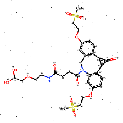 COS(=O)(=O)CCOc1ccc2c(c1)CN(C(=O)CCC(=O)NCCOCC(O)O)c1cc(OCCS(=O)(=O)OC)ccc1-c1c-2c1=O